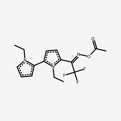 CCn1cccc1-c1ccc(/C(=N/OC(C)=O)C(F)(F)F)n1CC